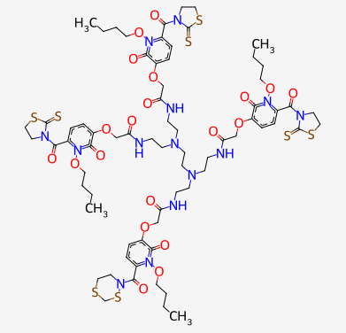 CCCCOn1c(C(=O)N2CCSCS2)ccc(OCC(=O)NCCN(CCNC(=O)COc2ccc(C(=O)N3CCSC3=S)n(OCCCC)c2=O)CCN(CCNC(=O)COc2ccc(C(=O)N3CCSC3=S)n(OCCCC)c2=O)CCNC(=O)COc2ccc(C(=O)N3CCSC3=S)n(OCCCC)c2=O)c1=O